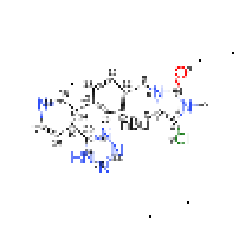 CCCCc1c(Cl)n(C)c(=O)n1Cc1ccc(-c2cnccc2-c2nnn[nH]2)cc1